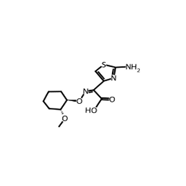 CO[C@@H]1CCCC[C@H]1ON=C(C(=O)O)c1csc(N)n1